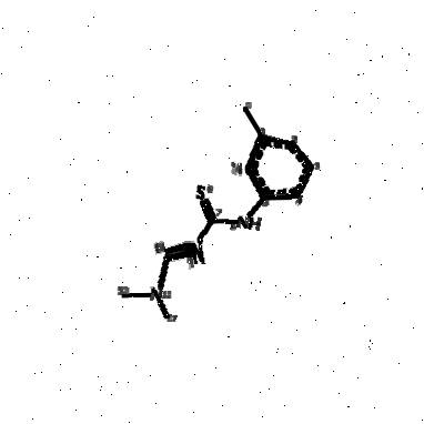 Cc1cccc(NC(=S)/N=C/N(C)C)c1